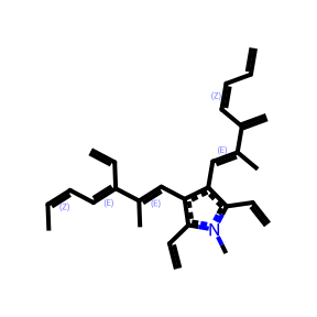 C=C/C=C\C(=C)/C(C)=C/c1c(/C=C(C)/C(C=C)=C/C=C\C)c(C=C)n(C)c1C=C